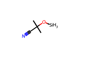 CC(C)(C#N)O[SiH3]